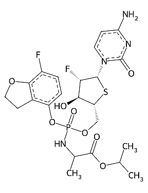 CC(C)OC(=O)C(C)NP(=O)(OC[C@H]1S[C@@H](n2ccc(N)nc2=O)[C@@H](F)[C@@H]1O)Oc1ccc(F)c2c1CCO2